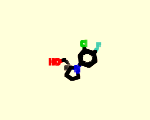 OC[C@H]1CCCN1c1ccc(F)c(Cl)c1